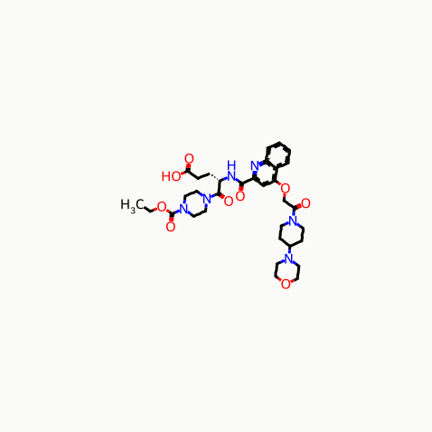 CCOC(=O)N1CCN(C(=O)[C@H](CCC(=O)O)NC(=O)c2cc(OCC(=O)N3CCC(N4CCOCC4)CC3)c3ccccc3n2)CC1